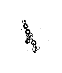 COc1ccc(-c2ccc(S(=O)(=O)N(CC3CCN(C(=O)OC(C)(C)C)CC3)n3cccc3)cc2)cc1